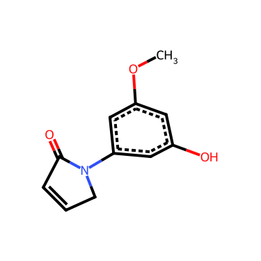 COc1cc(O)cc(N2CC=CC2=O)c1